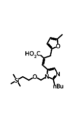 CCCCc1ncc(C=C(Cc2ccc(C)o2)C(=O)O)n1COCC[Si](C)(C)C